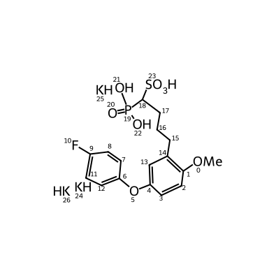 COc1ccc(Oc2ccc(F)cc2)cc1CCCC(P(=O)(O)O)S(=O)(=O)O.[KH].[KH].[KH]